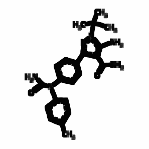 Cc1ccc(N(C(N)=O)c2ccc(-c3nn(C(C)(C)C)c(N)c3C(N)=O)cc2)cc1